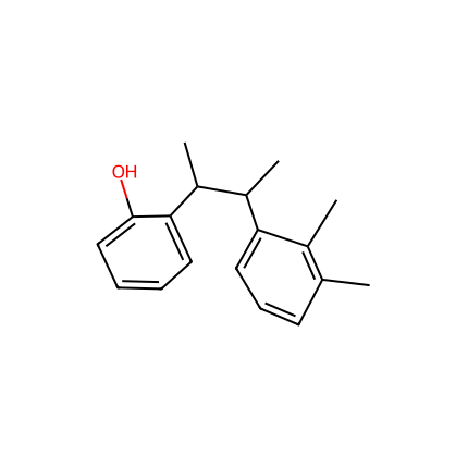 Cc1cccc(C(C)C(C)c2ccccc2O)c1C